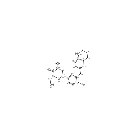 O=C1[C@H](O)C[C@H](c2ccc(Cl)c(Cc3ccc4c(c3)CCCN4)c2)O[C@@H]1CO